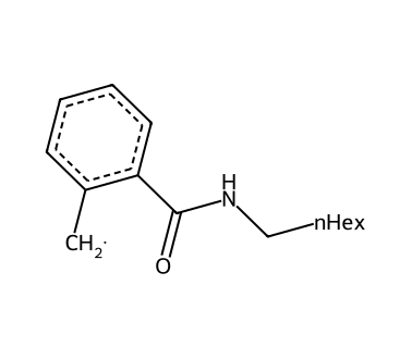 [CH2]c1ccccc1C(=O)NCCCCCCC